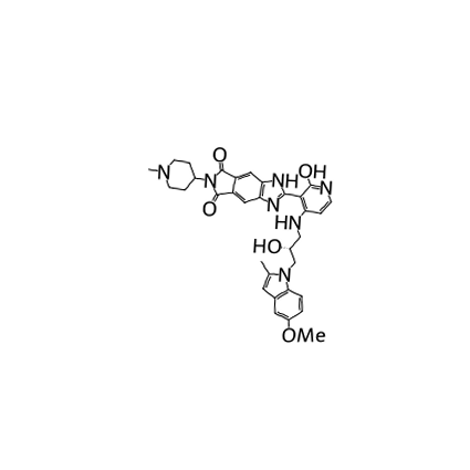 COc1ccc2c(c1)cc(C)n2C[C@H](O)CNc1ccnc(O)c1-c1nc2cc3c(cc2[nH]1)C(=O)N(C1CCN(C)CC1)C3=O